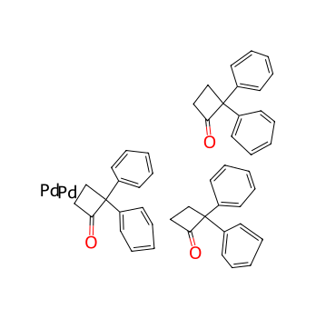 O=C1CCC1(c1ccccc1)c1ccccc1.O=C1CCC1(c1ccccc1)c1ccccc1.O=C1CCC1(c1ccccc1)c1ccccc1.[Pd].[Pd]